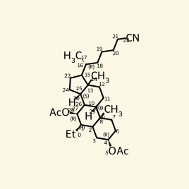 CC[C@@H]1C2C[C@H](OC(C)=O)CC[C@@]2(C)[C@H]2CCC3(C)C([C@H](C)CCCCC#N)CC[C@H]3C2[C@@H]1OC(C)=O